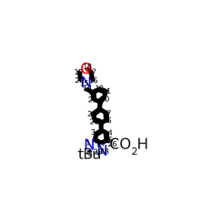 C/N=C1/C=C(c2ccc(-c3cccc(CN4CCOCC4)c3)cc2)C=C(C(=O)O)/C1=N/C(C)(C)C